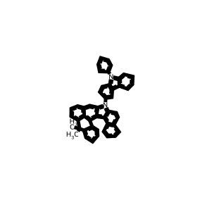 CC1(C)c2ccccc2-c2c3c1cccc3cc1c2c2c3ccccc3ccc2n1-c1ccc2c(c1)c1ccccc1n2-c1ccccc1